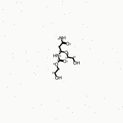 [NH]C(=O)CC(NC(=O)OCCO)OCCO